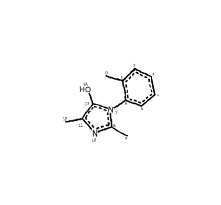 Cc1ccccc1-n1c(C)nc(C)c1O